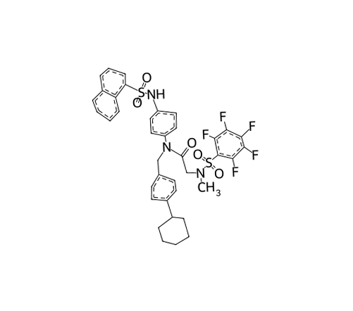 CN(CC(=O)N(Cc1ccc(C2CCCCC2)cc1)c1ccc(NS(=O)(=O)c2cccc3ccccc23)cc1)S(=O)(=O)c1c(F)c(F)c(F)c(F)c1F